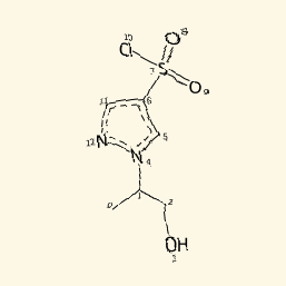 CC(CO)n1cc(S(=O)(=O)Cl)cn1